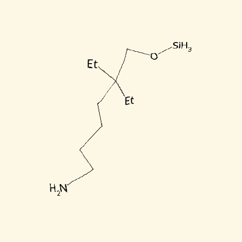 CCC(CC)(CCCCN)CO[SiH3]